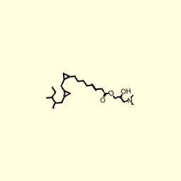 CCC(C)C(C)CC1CC1CC1CC1CCCCCCCC(=O)OCC(O)CN(C)C